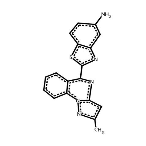 Cc1cc2nc(-c3nc4cc(N)ccc4s3)c3ccccc3n2n1